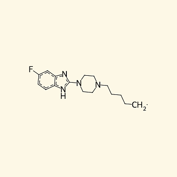 [CH2]CCCCN1CCN(c2nc3cc(F)ccc3[nH]2)CC1